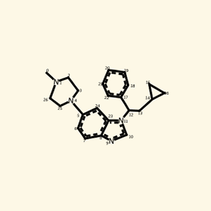 CN1CCN(c2ccc3ncn(C(CC4CC4)c4ccccc4)c3c2)CC1